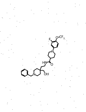 O=C(NCCC1(CO)CCN(Cc2ccccc2)CC1)C1CCN(c2ccc(OC(F)(F)F)c(F)c2)CC1